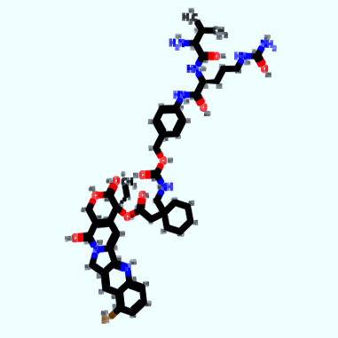 CC[C@@]1(OC(=O)CC2(CNC(=O)OCc3ccc(NC(=O)[C@H](CCCNC(N)=O)NC(=O)C(N)C(C)C)cc3)CCCCC2)C(=O)OCc2c1cc1n(c2=O)Cc2cc3c(Br)cccc3nc2-1